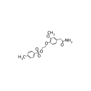 COc1cc(CC(N)=O)ccc1OCCOS(=O)(=O)c1ccc(C)cc1